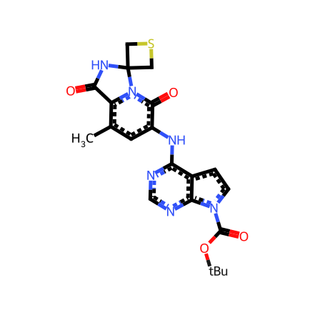 Cc1cc(Nc2ncnc3c2ccn3C(=O)OC(C)(C)C)c(=O)n2c1C(=O)NC21CSC1